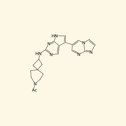 CC(=O)N1CCC2(CC1)CC(Nc1ncc3c(-c4cnc5nccn5c4)c[nH]c3n1)C2